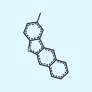 Cc1ccc2sc3cc4ccccc4cc3c2c1